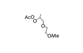 COCCOCC(C)OOC(C)=O